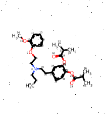 CCCN(CCOc1ccccc1OC)CCc1ccc(OC(=O)C(C)C)c(OC(=O)C(C)C)c1